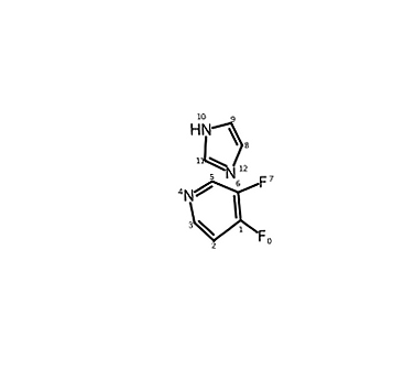 Fc1ccncc1F.c1c[nH]cn1